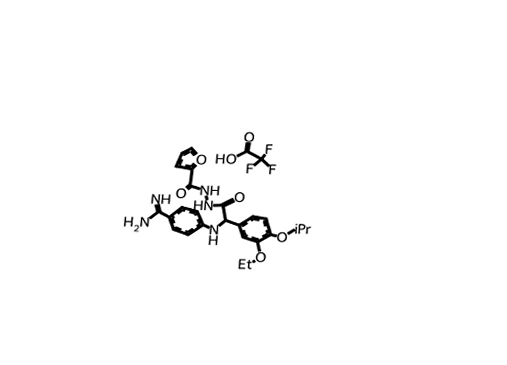 CCOc1cc(C(Nc2ccc(C(=N)N)cc2)C(=O)NNC(=O)c2ccco2)ccc1OC(C)C.O=C(O)C(F)(F)F